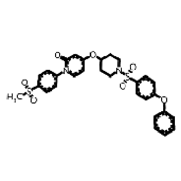 CS(=O)(=O)c1ccc(-n2ccc(OC3CCN(S(=O)(=O)c4ccc(Oc5ccccc5)cc4)CC3)cc2=O)cc1